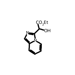 CCOC(=O)C(O)c1ncc2ccccn12